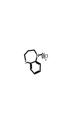 Cl.NN1CCCSc2ccccc21